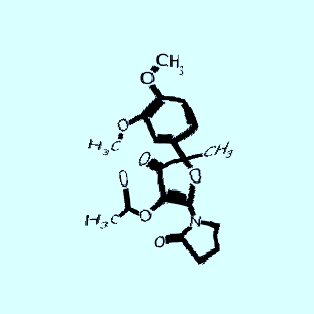 COc1ccc(C2(C)OC(N3CCCC3=O)=C(OC(C)=O)C2=O)cc1OC